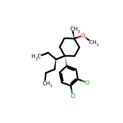 CCC[C@@H](CC)[C@]1(c2ccc(Cl)c(Cl)c2)CC[C@@](C)(OC)CC1